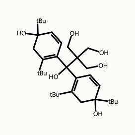 CC(C)(C)C1=C(C(O)(C2=C(C(C)(C)C)CC(O)(C(C)(C)C)C=C2)C(CO)(CO)CO)C=CC(O)(C(C)(C)C)C1